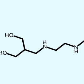 CNCCNCC(CO)CO